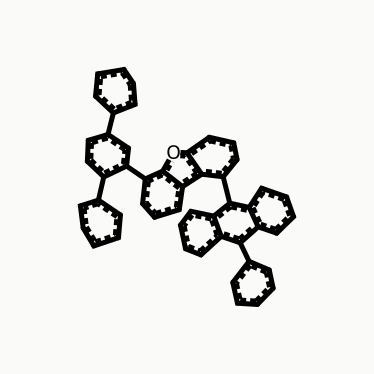 c1ccc(-c2ccc(-c3ccccc3)c(-c3cccc4c3oc3cccc(-c5c6ccccc6c(-c6ccccc6)c6ccccc56)c34)c2)cc1